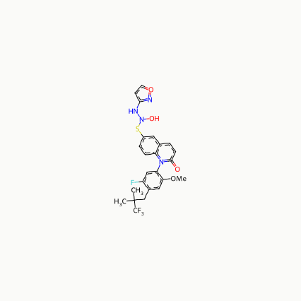 COc1cc(CC(C)(C)C(F)(F)F)c(F)cc1-n1c(=O)ccc2cc(SN(O)Nc3ccon3)ccc21